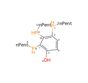 CCCCCPc1ccc(O)c(PCCCCC)c1PCCCCC